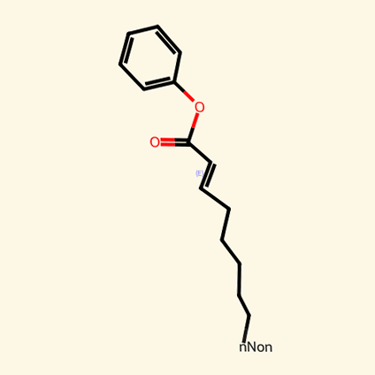 CCCCCCCCCCCCCC/C=C/C(=O)Oc1ccccc1